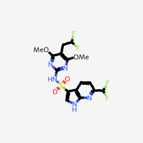 COc1nc(NS(=O)(=O)c2c[nH]c3nc(C(F)F)ccc23)nc(OC)c1CC(F)F